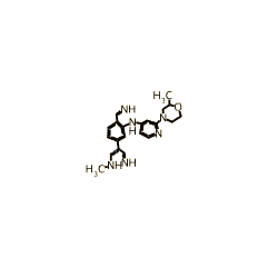 CN/C=C(\C=N)c1ccc(C=N)c(Nc2ccnc(N3CCOC(C)C3)c2)c1